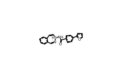 O=C(N[SH]1C=Cc2ccccc2C=N1)c1ccc(-c2ccco2)cc1